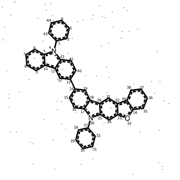 c1ccc(-n2c3ccccc3c3cc(-c4ccc5c(c4)c4cc6c(cc4n5-c4ccccc4)oc4ccccc46)ccc32)cc1